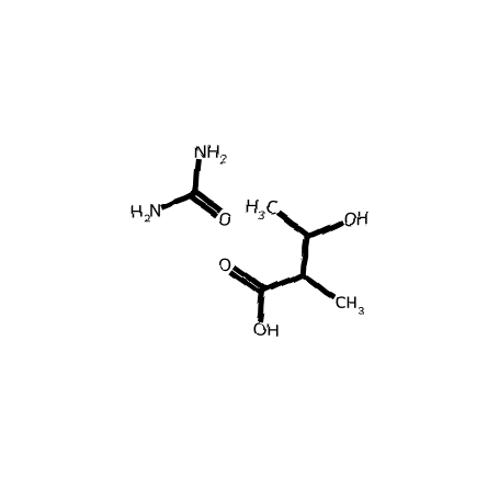 CC(O)C(C)C(=O)O.NC(N)=O